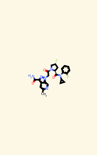 Cc1cc2c(C(N)=O)nn(CC(=O)N3C[C@H](F)C[C@H]3C(=O)N(c3ccccc3F)C3CC3)c2cn1